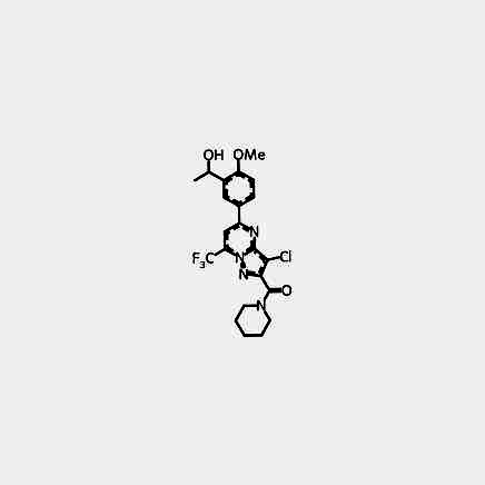 COc1ccc(-c2cc(C(F)(F)F)n3nc(C(=O)N4CCCCC4)c(Cl)c3n2)cc1C(C)O